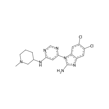 CN1CCCC(Nc2cc(-n3c(N)nc4cc(Cl)c(Cl)cc43)ncn2)C1